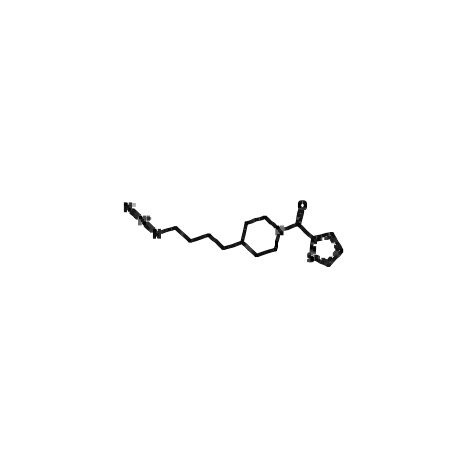 [N-]=[N+]=NCCCCC1CCN(C(=O)c2cccs2)CC1